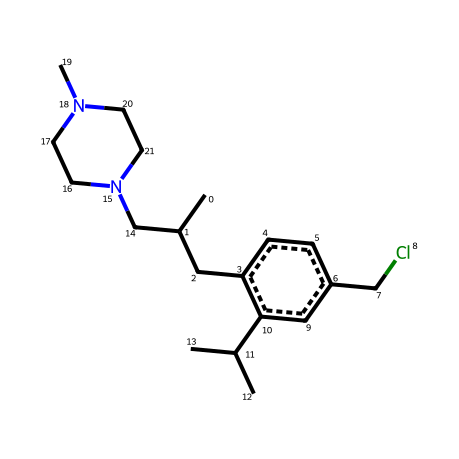 CC(Cc1ccc(CCl)cc1C(C)C)CN1CCN(C)CC1